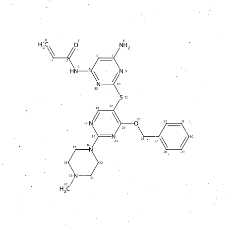 C=CC(=O)Nc1cc(N)nc(Sc2cnc(N3CCN(C)CC3)nc2OCc2ccccc2)n1